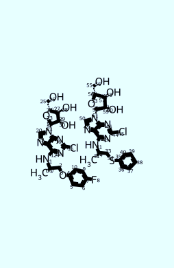 C[C@H](COc1ccc(F)cc1)Nc1nc(Cl)nc2c1ncn2[C@@H]1O[C@H](CO)[C@@H](O)[C@H]1O.C[C@H](CSc1ccccc1)Nc1nc(Cl)nc2c1ncn2[C@@H]1O[C@H](CO)[C@@H](O)[C@H]1O